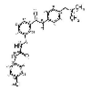 CN(C)Cc1ccc(NC(=O)c2cccc(CNC(=O)Nc3ccc(Cl)cc3)c2)cc1